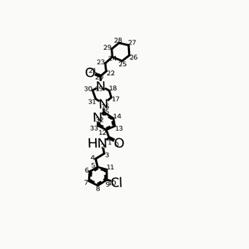 O=C(NCCc1cccc(Cl)c1)c1ccc(N2CCN(C(=O)CCC3CCCCC3)CC2)nc1